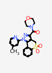 Cc1ccnc(-n2nc(C(=O)N3CCOCC3)c3c2-c2ccccc2S(=O)(=O)C3)c1